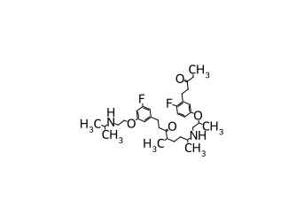 CCC(=O)CCc1cc(OC(C)CNC(C)CCC(C)C(=O)CCc2cc(F)cc(OCCNC(C)C)c2)ccc1F